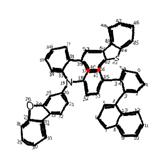 c1ccc(-c2cccc3ccccc23)c(-c2ccc(N(c3ccc4c(c3)oc3ccccc34)c3ccccc3-c3ccc4sc5ccccc5c4c3)cc2)c1